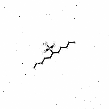 CCCCCC(CCCCC)S(=O)(=O)O